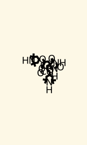 CC1(C)CC(OC(=C=O)CC2(CC(=C=O)OC3CC(C)(C)NC(C)(C)C3)C(=O)NC(=O)NC2=O)CC(C)(C)N1